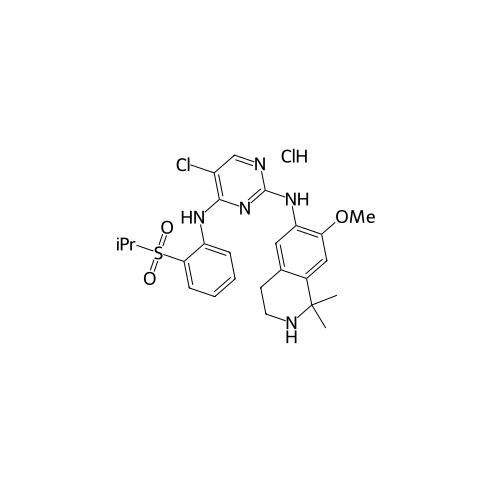 COc1cc2c(cc1Nc1ncc(Cl)c(Nc3ccccc3S(=O)(=O)C(C)C)n1)CCNC2(C)C.Cl